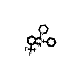 FC(F)(F)c1cccc2c(N3CCCCC3)n(-c3ccccc3)nc12